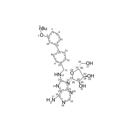 CCCCOc1cccc(-c2ccc(CNc3nc4c(N)ncnc4n3[C@@H]3O[C@H](CO)[C@@H](O)[C@H]3O)cc2)c1